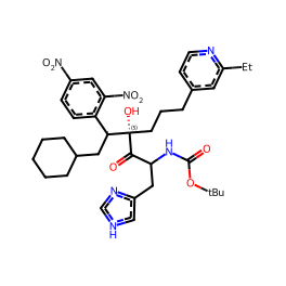 CCc1cc(CCC[C@](O)([C](CC2CCCCC2)c2ccc([N+](=O)[O-])cc2[N+](=O)[O-])C(=O)C(Cc2c[nH]cn2)NC(=O)OC(C)(C)C)ccn1